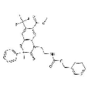 COC(=O)c1cc2c(cc1C(F)(F)F)OC(C)(c1ccccc1)C(=O)N2CCNC(=O)OCc1ccccc1